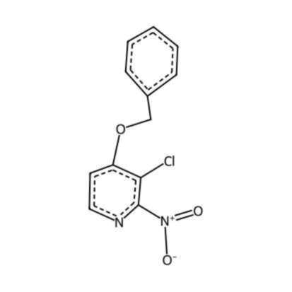 O=[N+]([O-])c1nccc(OCc2ccccc2)c1Cl